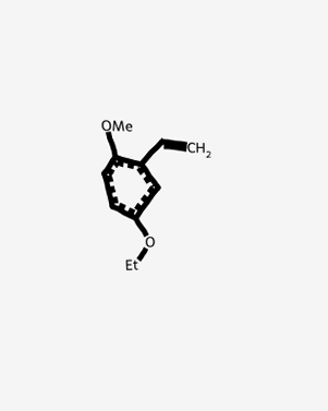 C=[C]c1cc(OCC)ccc1OC